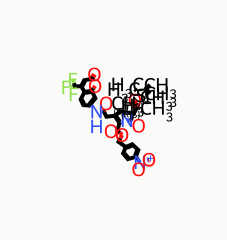 C[C@@H](O[Si](C)(C)C(C)(C)C)[C@H]1C(=O)N2C(C(=O)OCc3ccc([N+](=O)[O-])cc3)=C(CC(=O)Nc3ccc4c(C(F)(F)F)cc(=O)oc4c3)[C@H](C)[C@H]12